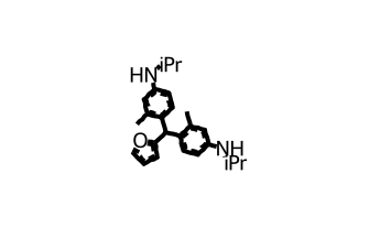 Cc1cc(NC(C)C)ccc1C(c1ccco1)c1ccc(NC(C)C)cc1C